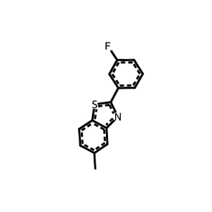 Cc1ccc2sc(-c3cccc(F)c3)nc2c1